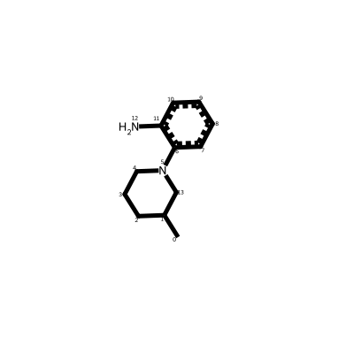 CC1CCCN(c2ccccc2N)C1